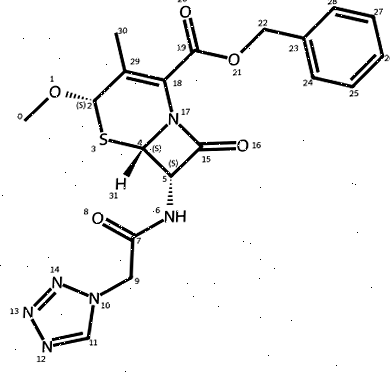 CO[C@H]1S[C@H]2[C@@H](NC(=O)Cn3cnnn3)C(=O)N2C(C(=O)OCc2ccccc2)=C1C